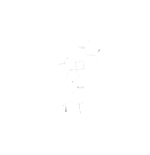 C[C@@H](O)[C@@H](C(N)=O)N1CC2(CN(C(=O)OC(C)(C)C)C3(CN([C@H](C(N)=O)[C@@H](C)O)C3O)C2)C1=O